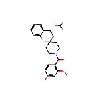 COc1cc(O)ccc1C(=O)N1CCC2(CC1)C[C@@H](OC(C)C)c1ccccc1O2